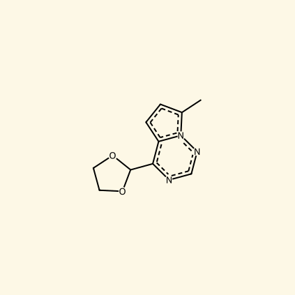 Cc1ccc2c(C3OCCO3)ncnn12